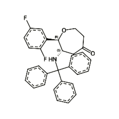 O=C1CCO[C@H](c2cc(F)ccc2F)[C@@H](NC(c2ccccc2)(c2ccccc2)c2ccccc2)C1